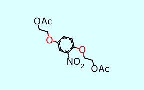 CC(=O)OCCOc1ccc(OCCOC(C)=O)c([N+](=O)[O-])c1